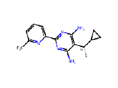 C[C@H](c1c(N)nc(-c2cccc(C(F)(F)F)n2)nc1N)C1CC1